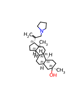 C=C(CN1CCCC1)[C@H]1CC[C@H]2[C@@H]3CC[C@@H]4C[C@](C)(O)CC[C@@H]4[C@H]3CC[C@]12C